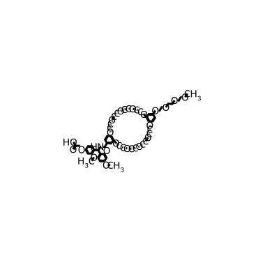 COCCOCCOCCOc1ccc2c(c1)OCCOCCOCCOCCOc1ccc(C(=O)NC(c3ccc(OCC(=O)O)cc3)c3ccc(OC)cc3OC)cc1OCCOCCOCCOCCO2